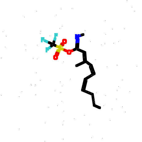 CCC\C=C/C=C\C(C)=C\C(=N/C)OS(=O)(=O)C(F)(F)F